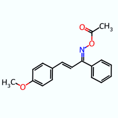 COc1ccc(C=CC(=NOC(C)=O)c2ccccc2)cc1